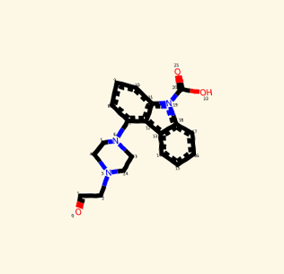 O=CCN1CCN(c2cccc3c2c2ccccc2n3C(=O)O)CC1